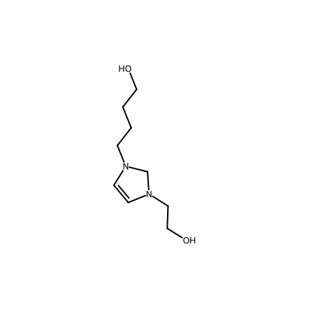 OCCCCN1C=CN(CCO)C1